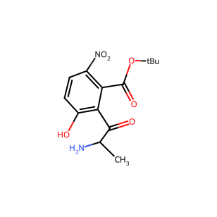 CC(N)C(=O)c1c(O)ccc([N+](=O)[O-])c1C(=O)OC(C)(C)C